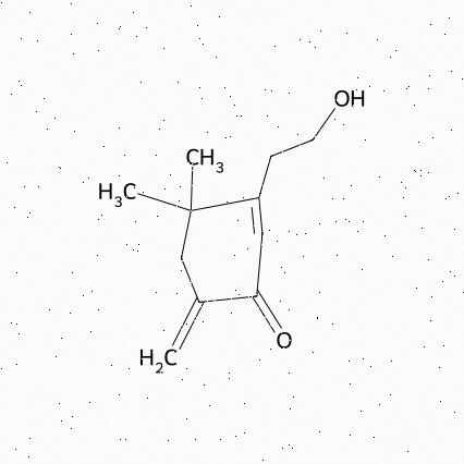 C=C1CC(C)(C)C(CCO)=CC1=O